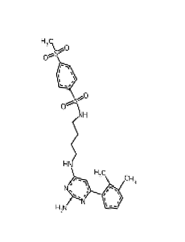 Cc1cccc(-c2cc(NCCCCNS(=O)(=O)c3ccc(S(C)(=O)=O)cc3)nc(N)n2)c1C